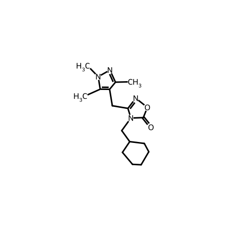 Cc1nn(C)c(C)c1Cc1noc(=O)n1CC1CCCCC1